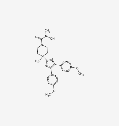 COc1ccc(-c2nc(C3(C)CCN(C(=O)N(C)O)CC3)sc2-c2ccc(OC)cc2)cc1